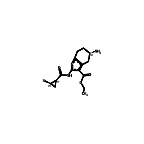 CCOC(=O)c1c(NC(=O)[C@H]2C[C@H]2F)sc2c1C[C@@H](N)CC2